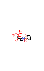 O=C(c1ccn(S(=O)(=O)c2ccccc2)c1)C(O)O